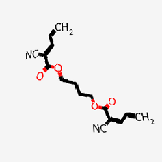 C=CC=C(C#N)C(=O)OCCCCOC(=O)C(C#N)=CC=C